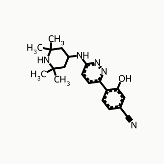 CC1(C)CC(Nc2ccc(-c3ccc(C#N)cc3O)nn2)CC(C)(C)N1